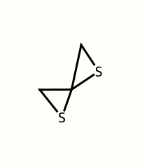 C1SC12CS2